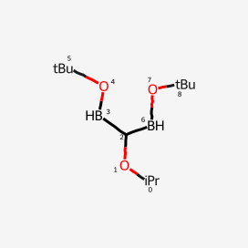 CC(C)OC(BOC(C)(C)C)BOC(C)(C)C